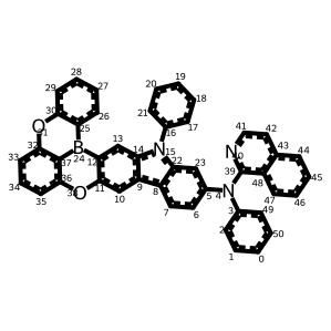 c1ccc(N(c2ccc3c4cc5c(cc4n(-c4ccccc4)c3c2)B2c3ccccc3Oc3cccc(c32)O5)c2nccc3ccccc23)cc1